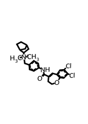 C[N+](C)(Cc1ccc(NC(=O)C2=Cc3cc(Cl)c(Cl)cc3OCC2)cc1)C1CC2CCC1C2